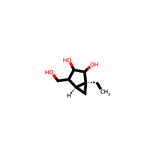 CC[C@]12C[C@H]1C(CO)C(O)C2O